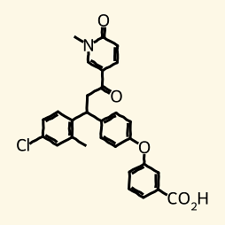 Cc1cc(Cl)ccc1C(CC(=O)c1ccc(=O)n(C)c1)c1ccc(Oc2cccc(C(=O)O)c2)cc1